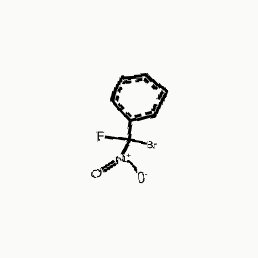 O=[N+]([O-])C(F)(Br)c1ccccc1